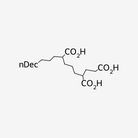 CCCCCCCCCCCCCC(CCCC(CCC(=O)O)C(=O)O)C(=O)O